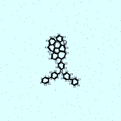 c1ccc(-c2ccc(N(c3ccc(-c4ccccc4)cc3)c3ccc(C4CCc5cc6oc7ccccc7c6c(-c6cccc7ccccc67)c5-c5ccccc54)cc3)cc2)cc1